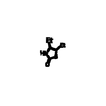 CCC1NC(=O)SC1CC